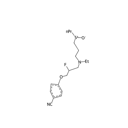 CCC[S+]([O-])CCCN(CC)CC(F)COc1ccc(C#N)cc1